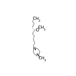 CCCC[C@@H](CCCCCN1CCN(C)CC1)OC